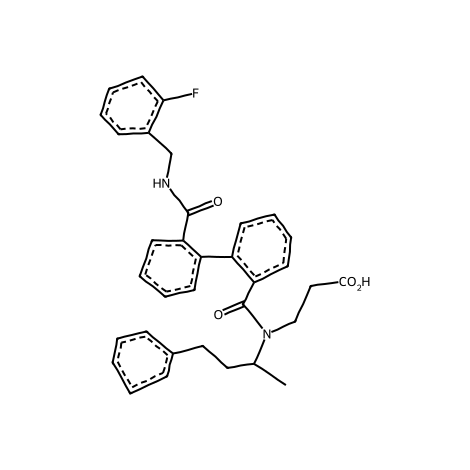 CC(CCc1ccccc1)N(CCC(=O)O)C(=O)c1ccccc1-c1ccccc1C(=O)NCc1ccccc1F